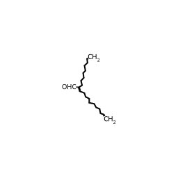 C=CCCCCCCCC/C=C(/C=O)CCCCCCCC=C